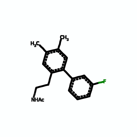 CC(=O)NCCc1cc(C)c(C)cc1-c1cccc(F)c1